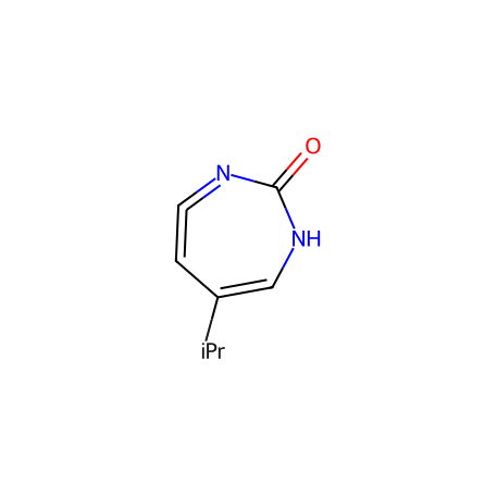 CC(C)C1=CNC(=O)N=C=C1